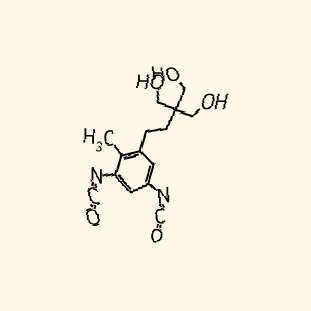 Cc1c(CCC(CO)(CO)CO)cc(N=C=O)cc1N=C=O